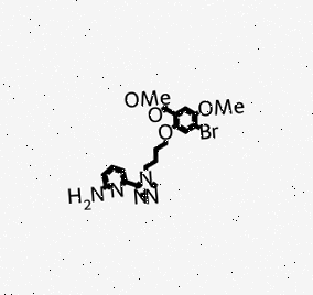 COC(=O)c1cc(OC)c(Br)cc1OCCCCn1cnnc1-c1cccc(N)n1